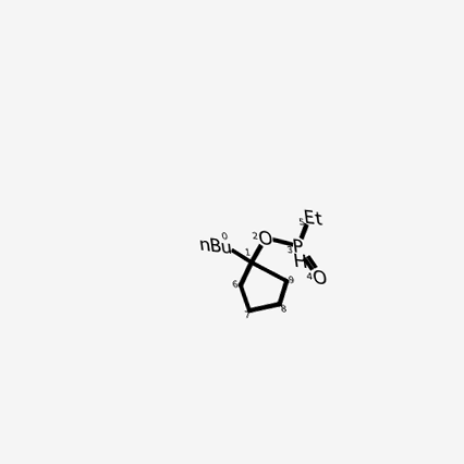 CCCCC1(O[PH](=O)CC)CCCC1